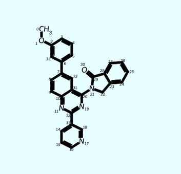 COc1cccc(-c2ccc3nc(-c4cccnc4)nc(N4Cc5ccccc5C4=O)c3c2)c1